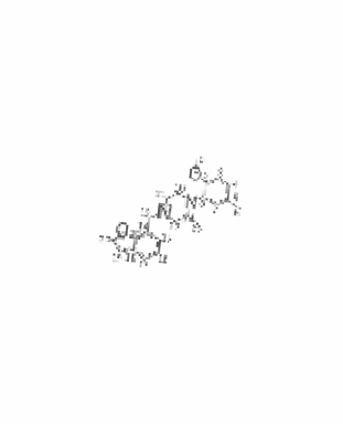 COc1ccc(C)cc1N1CCN(Cc2cccc3ccoc23)CC1C